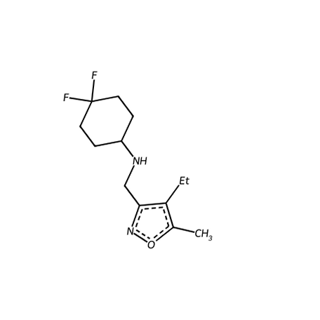 CCc1c(CNC2CCC(F)(F)CC2)noc1C